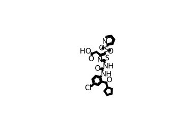 O=C(O)Cc1nc(NC(=O)Nc2ccc(Cl)cc2C(=O)C2CCCC2)sc1S(=O)(=O)c1ccccn1